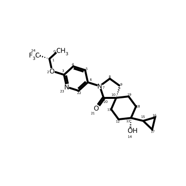 C[C@H](Oc1ccc(N2CC[C@]3(CC[C@](O)(C4CC4)CC3)C2=O)cn1)C(F)(F)F